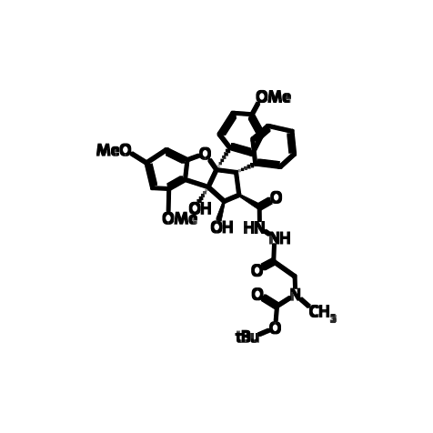 COc1ccc([C@@]23Oc4cc(OC)cc(OC)c4[C@]2(O)[C@H](O)[C@H](C(=O)NNC(=O)CN(C)C(=O)OC(C)(C)C)[C@H]3c2ccccc2)cc1